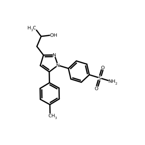 Cc1ccc(-c2cc(CC(C)O)nn2-c2ccc(S(N)(=O)=O)cc2)cc1